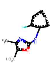 O=C(O)c1oc(Nc2ccccc2F)nc1C(F)(F)F